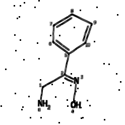 NCC(=NO)c1ccccc1